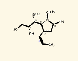 C/C=C\[C@@H]1C[C@H](C#N)N(C(=O)O)[C@H]1[C@@H](NC(C)=O)[C@H](O)CO